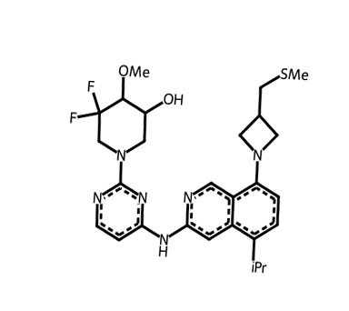 COC1C(O)CN(c2nccc(Nc3cc4c(C(C)C)ccc(N5CC(CSC)C5)c4cn3)n2)CC1(F)F